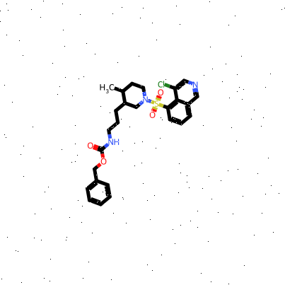 CC1CCN(S(=O)(=O)c2cccc3cncc(Cl)c23)CC1CCCNC(=O)OCc1ccccc1